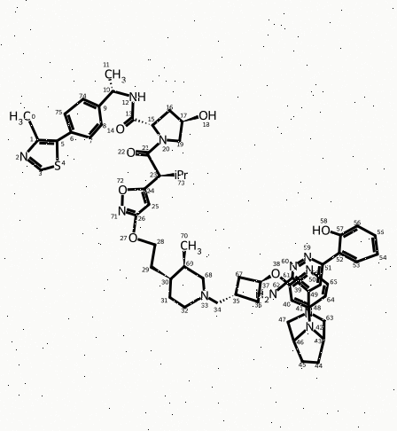 Cc1ncsc1-c1ccc([C@H](C)NC(=O)[C@@H]2C[C@@H](O)CN2C(=O)[C@H](c2cc(OCC[C@@H]3CCN(C[C@H]4C[C@H](Oc5cc(N6C7CCC6CN(c6cc(-c8ccccc8O)nnc6N)C7)ccn5)C4)C[C@@H]3C)no2)C(C)C)cc1